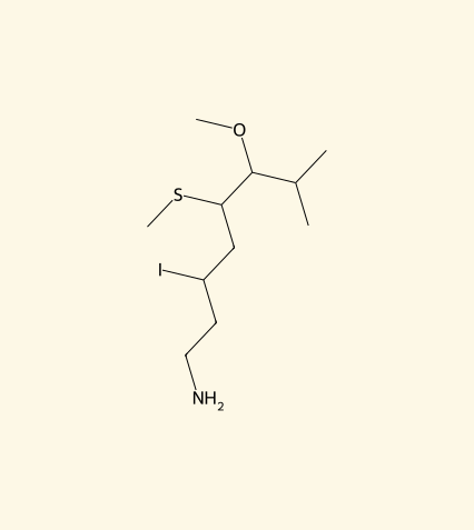 COC(C(C)C)C(CC(I)CCN)SC